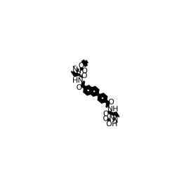 CN1CCC(C(=O)NCC(=O)c2ccc(-c3ccc4cc(C(=O)CNC(=O)[C@@H]5CCN(C)N5C(=O)OC(C)(C)C)ccc4c3)cc2)N1C(=O)O